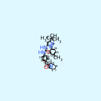 CCCC(=O)N1C2CCC1CC(Cc1ccc(NC(=O)Nc3cc(C(C)(C)C)nn3-c3ccc(C)cc3)cc1)C2